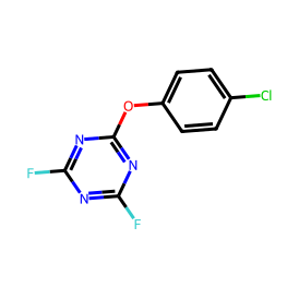 Fc1nc(F)nc(Oc2ccc(Cl)cc2)n1